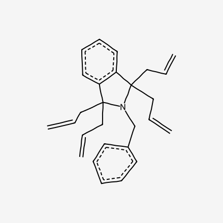 C=CCC1(CC=C)c2ccccc2C(CC=C)(CC=C)N1Cc1ccccc1